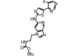 CC(C)(C)OC(=O)NCCn1cnc2cnc(Nc3ncc(-c4ncncc4F)s3)cc21